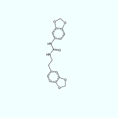 O=C(NCCc1ccc2c(c1)OCO2)Nc1ccc2c(c1)OCO2